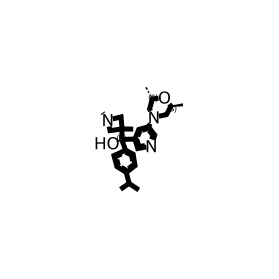 CC(C)c1ccc([C@](O)(c2cncc(N3C[C@H](C)O[C@@H](C)C3)c2)C2(C)CN(C)C2)cc1